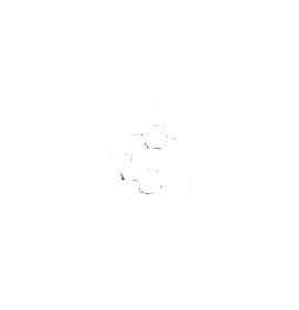 CC(=O)N[C@@H]1C(O)OC(CO)[C@@H](O)C1OC1OC(C(=O)C(C)C)[C@@H](O)C(O)[C@@H]1O